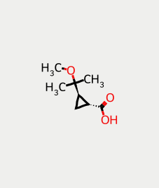 COC(C)(C)[C@@H]1C[C@H]1C(=O)O